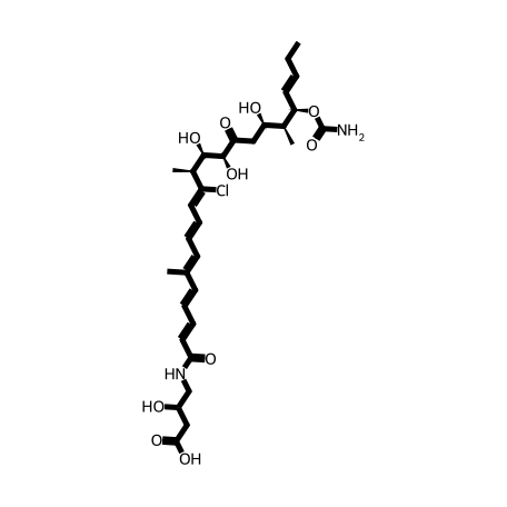 CC/C=C/[C@@H](OC(N)=O)[C@@H](C)[C@H](O)CC(=O)[C@@H](O)[C@H](O)[C@H](C)/C(Cl)=C/C=C/C=C(C)/C=C/C=C/C(=O)NCC(O)CC(=O)O